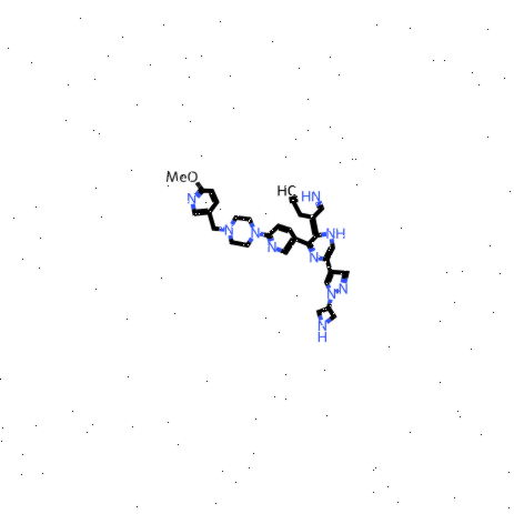 C#CC/C(C=N)=C1/NC=C(c2cnn(C3CNC3)c2)N=C1c1ccc(N2CCN(Cc3ccc(OC)nc3)CC2)nc1